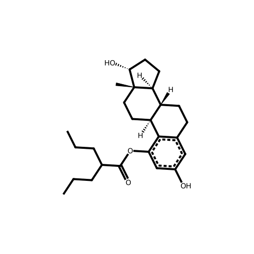 CCCC(CCC)C(=O)Oc1cc(O)cc2c1[C@H]1CC[C@]3(C)[C@H](O)CC[C@H]3[C@@H]1CC2